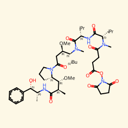 CC[C@H](C)[C@@H]([C@@H](CC(=O)N1CCC[C@H]1[C@H](OC)[C@@H](C)C(=O)N[C@H](C)[C@@H](O)c1ccccc1)OC)N(C)C(=O)[C@@H](NC(=O)[C@H](C(C)C)N(C)C(=O)CCC(=O)ON1C(=O)CCC1=O)C(C)C